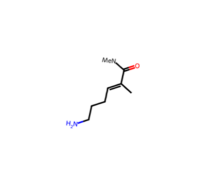 CNC(=O)C(C)=CCCCN